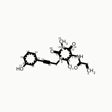 C=CC(=O)Nc1c(Cl)n(CC#Cc2cccc(O)c2)c(=O)n(C)c1=O